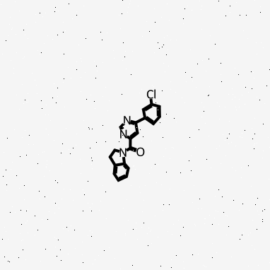 O=C(c1cc(-c2cccc(Cl)c2)ncn1)N1CCc2ccccc21